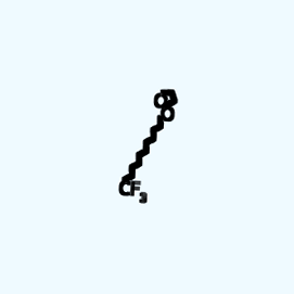 FC(F)(F)CCCCCCCCCCCOC1CCCO1